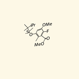 COC(=O)c1c(C)c(O[Si](C)(C)C(C)(C)C(C)C)cc(OC)c1F